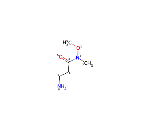 CON(C)C(=O)CCN